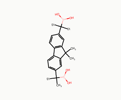 CCC(C)(B(O)O)c1ccc2c(c1)C(C)(C)c1cc(C(CC)(CC)B(O)O)ccc1-2